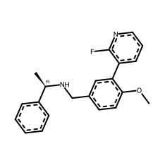 COc1ccc(CN[C@H](C)c2ccccc2)cc1-c1cccnc1F